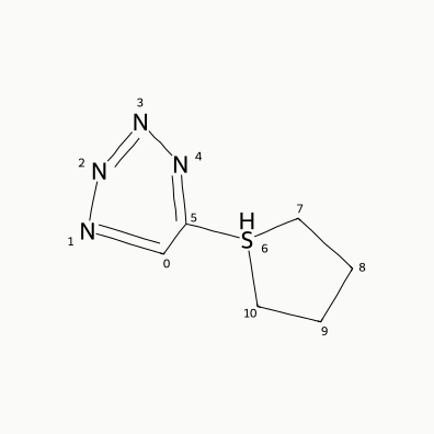 c1nnnnc1[SH]1CCCC1